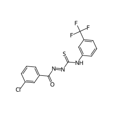 O=C(N=NC(=S)Nc1cccc(C(F)(F)F)c1)c1cccc(Cl)c1